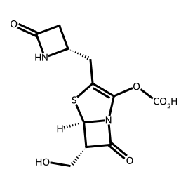 O=C1C[C@H](CC2=C(OC(=O)O)N3C(=O)[C@H](CO)[C@H]3S2)N1